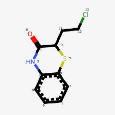 O=C1Nc2ccccc2SC1CCCl